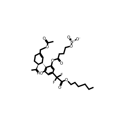 C=C(C)[C@H]1CCC(COC(C)=O)=C[C@@H]1c1c(O)cc(C(F)(F)C(=O)OCCCCCC)cc1OC(=O)CCCO[N+](=O)[O-]